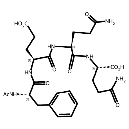 CC(=O)N[C@@H](Cc1ccccc1)C(=O)N[C@@H](CCC(=O)O)C(=O)N[C@@H](CCC(N)=O)C(=O)N[C@@H](CCC(N)=O)C(=O)O